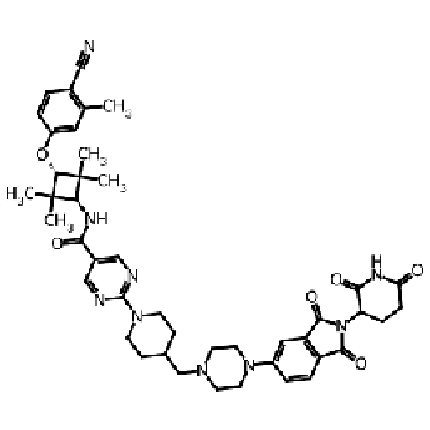 Cc1cc(O[C@H]2C(C)(C)[C@H](NC(=O)c3cnc(N4CCC(CN5CCN(c6ccc7c(c6)C(=O)N(C6CCC(=O)NC6=O)C7=O)CC5)CC4)nc3)C2(C)C)ccc1C#N